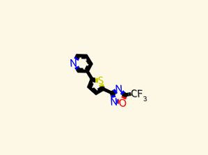 FC(F)(F)c1nc(-c2ccc(-c3cccnc3)s2)no1